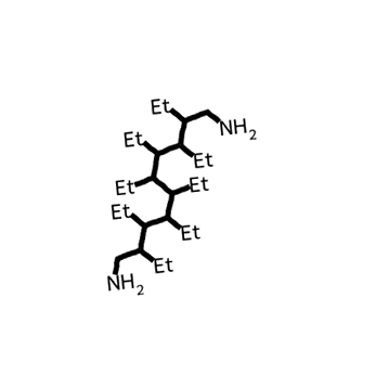 CCC(CN)C(CC)C(CC)C(CC)C(CC)C(CC)C(CC)C(CC)CN